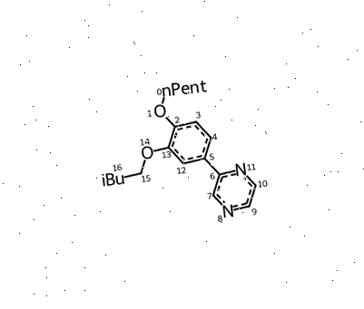 CCCCCOc1ccc(-c2cnccn2)cc1OCC(C)CC